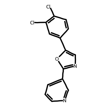 Clc1ccc(-c2cnc(-c3cccnc3)o2)cc1Cl